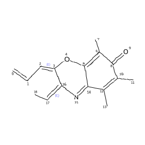 C=C/C=c1/oc2c(C)c(=O)c(C)c(C)c-2n/c1=C/C